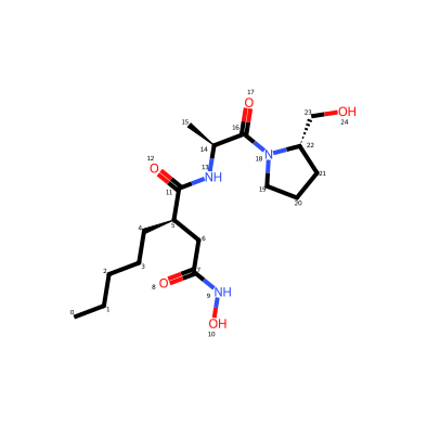 CCCCC[C@H](CC(=O)NO)C(=O)N[C@@H](C)C(=O)N1CCC[C@H]1CO